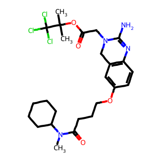 CN(C(=O)CCCOc1ccc2c(c1)CN(CC(=O)OC(C)(C)C(Cl)(Cl)Cl)C(N)=N2)C1CCCCC1